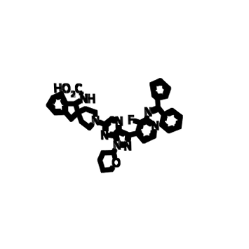 O=C(O)NC1c2ccccc2CC12CCN(c1cnc3c(-c4ccnc(N=C(c5ccccc5)c5ccccc5)c4F)nn(C4CCCCO4)c3n1)CC2